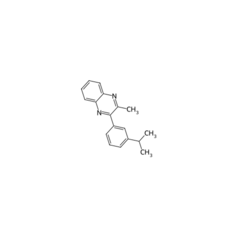 Cc1nc2ccccc2nc1-c1cccc(C(C)C)c1